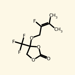 CC(C)=C(F)COC1(C(F)(F)F)COC(=O)O1